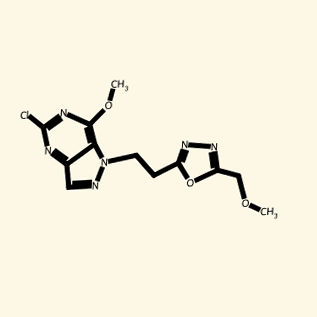 COCc1nnc(CCn2ncc3nc(Cl)nc(OC)c32)o1